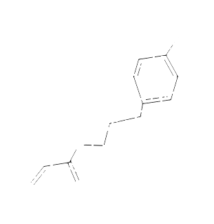 C=CC(=O)OCCCc1ccc(Br)cc1